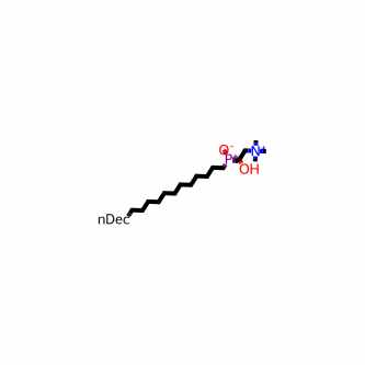 CCCCCCCCCCCCCCCCCCCCCC[P+]([O-])=C(O)C[N+](C)(C)C